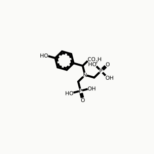 O=C(O)C(c1ccc(O)cc1)N(CP(=O)(O)O)CP(=O)(O)O